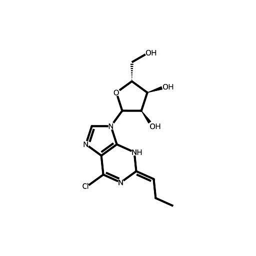 CCC=C1N=C(Cl)c2ncn(C3O[C@H](CO)[C@@H](O)[C@H]3O)c2N1